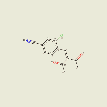 CC(=O)C(=Cc1ccc(C#N)cc1Cl)C(C)=O